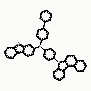 c1ccc(-c2ccc(N(c3ccc(-n4c5ccccc5c5c6ccccc6ccc54)cc3)c3ccc4c(c3)oc3ccccc34)cc2)cc1